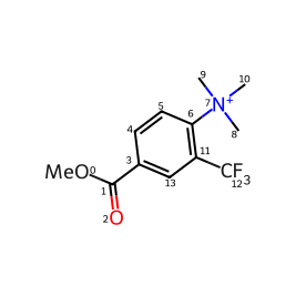 COC(=O)c1ccc([N+](C)(C)C)c(C(F)(F)F)c1